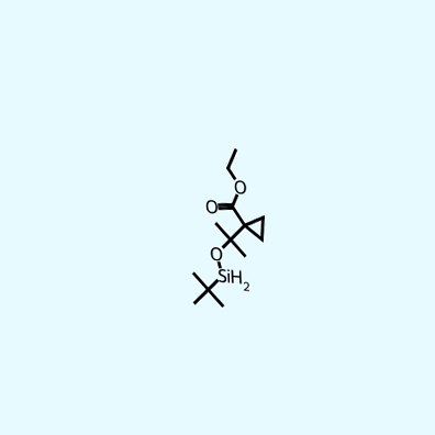 CCOC(=O)C1(C(C)(C)O[SiH2]C(C)(C)C)CC1